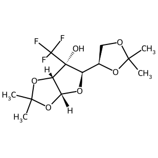 CC1(C)OC[C@H]([C@H]2O[C@@H]3OC(C)(C)O[C@@H]3[C@@]2(O)C(F)(F)F)O1